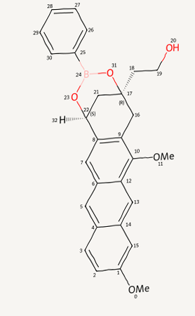 COc1ccc2cc3cc4c(c(OC)c3cc2c1)C[C@@]1(CCO)C[C@@H]4OB(c2ccccc2)O1